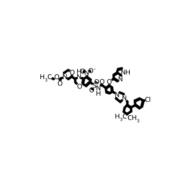 CCOC(=O)N1CCOC(C2COc3cc(S(=O)(=O)NC(=O)c4ccc(N5CCN(CC6=C(c7ccc(Cl)cc7)CC(C)(C)CC6)CC5)cc4Oc4cnc5[nH]ccc5c4)cc([N+](=O)[O-])c3N2)C1